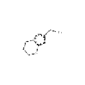 CC(C)(C)Cc1cc2n(n1)CCCO2